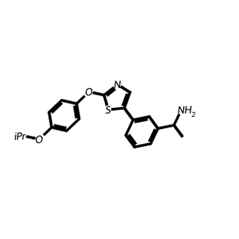 CC(C)Oc1ccc(Oc2ncc(-c3cccc(C(C)N)c3)s2)cc1